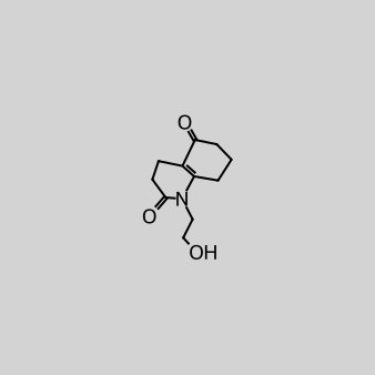 O=C1CCCC2=C1CCC(=O)N2CCO